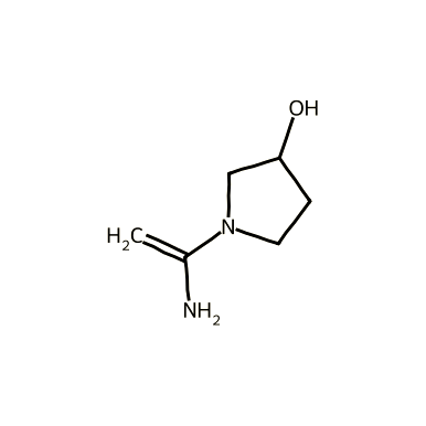 C=C(N)N1CCC(O)C1